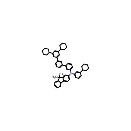 CC1(C)c2ccccc2-c2ccc(N(c3cccc(-c4cccc(-c5cc(C6CCCCC6)cc(C6CCCCC6)c5)c4)c3)c3cccc(C4CCCCC4)c3)cc21